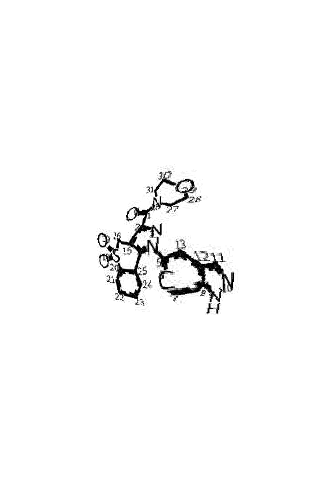 O=C(c1nn(-c2ccc3[nH]ncc3c2)c2c1CS(=O)(=O)c1ccccc1-2)N1CCOCC1